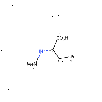 CNNC(CC(C)C)C(=O)O